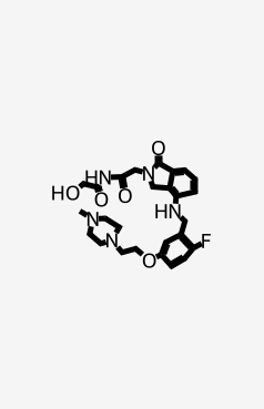 CN1CCN(CCOc2ccc(F)c(CNc3cccc4c3CN(CC(=O)NC(=O)CO)C4=O)c2)CC1